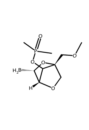 B[C@@H]1O[C@]2(COC)CO[C@H]1C2OP(C)(C)=O